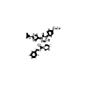 COc1ccc(C(NC(=O)[C@@H]2CCCN2C(=O)OCc2ccccc2)C(=O)Nc2cnc(C3CC3)nc2)cc1